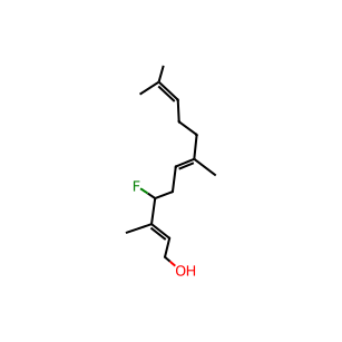 CC(C)=CCCC(C)=CCC(F)C(C)=CCO